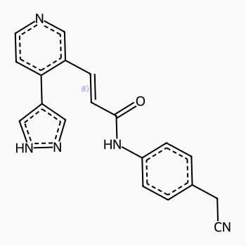 N#CCc1ccc(NC(=O)/C=C/c2cnccc2-c2cn[nH]c2)cc1